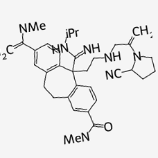 C=C(NC)c1ccc2c(c1)CCc1cc(C(=O)NC)ccc1C2(CCNCC(=C)N1CCCC1C#N)C(=N)NC(C)C